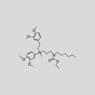 CCCCCCN(CCC[N+](C)(CCc1ccc(OC)c(OC)c1)c1ccc(OC)c(OC)c1)C(=O)OCC